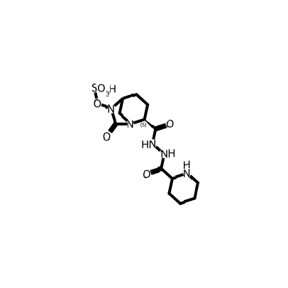 O=C(NNC(=O)[C@@H]1CCC2CN1C(=O)N2OS(=O)(=O)O)C1CCCCN1